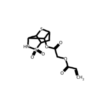 C=CC(=O)OCC(=O)OC1C2CC3C(S2)C1NS3(=O)=O